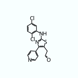 O=CCc1sc(Nc2cc(Cl)ccc2Cl)nc1-c1ccncc1